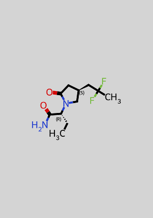 CC[C@H](C(N)=O)N1C[C@H](CC(C)(F)F)CC1=O